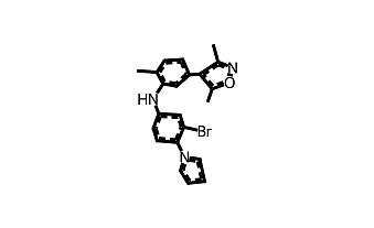 Cc1ccc(-c2c(C)noc2C)cc1Nc1ccc(-n2cccc2)c(Br)c1